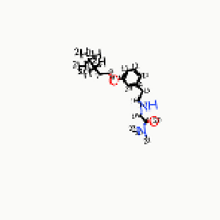 [2H]C([2H])([2H])C([2H])([2H])CCOc1cccc(CCNCC(=O)N(C)C)c1